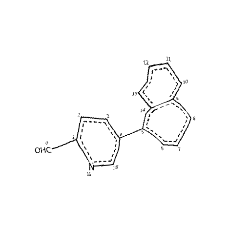 O=Cc1ccc(-c2cccc3ccccc23)cn1